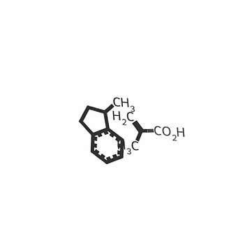 C=C(C)C(=O)O.CC1CCc2ccccc21